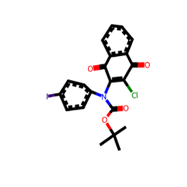 CC(C)(C)OC(=O)N(C1=C(Cl)C(=O)c2ccccc2C1=O)c1ccc(I)cc1